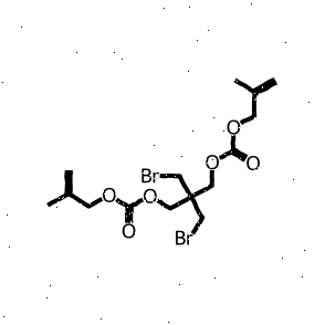 C=C(C)COC(=O)OCC(CBr)(CBr)COC(=O)OCC(=C)C